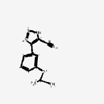 CC(C)Oc1cccc(-c2nn[nH]c2C#N)c1